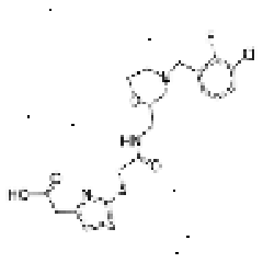 O=C(O)Cc1csc(SCC(=O)NCC2CN(Cc3cccc(Cl)c3F)CCO2)n1